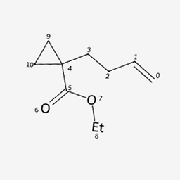 C=CCCC1(C(=O)OCC)CC1